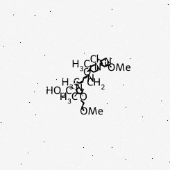 C=N/C(=C\C=C(/C)N1C[C@H](OCCCOC)[C@@H](C)[C@@H]1CC(=O)O)OC1CCN(c2cc(OC)ncc2Cl)CC1C